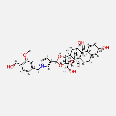 COc1cc(Cn2ccc([C@@H]3O[C@@H]4C[C@H]5[C@@H]6CCC7=CC(O)C=C[C@]7(C)[C@H]6[C@@H](O)C[C@]5(C)[C@]4(C(=O)CO)O3)c2)ccc1CO